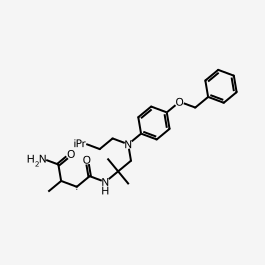 CC(C)CCN(CC(C)(C)NC(=O)[CH]C(C)C(N)=O)c1ccc(OCc2ccccc2)cc1